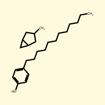 CC1CC2CC2C1.CCCCCCCCCCCCc1ccc(O)cc1